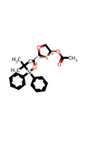 CC(=O)O[C@@H]1CO[C@@H](CO[Si](c2ccccc2)(c2ccccc2)C(C)(C)C)S1